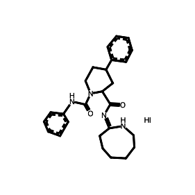 I.O=C(N=C1CCCCCCN1)C1CC(c2ccccc2)CCN1C(=O)Nc1ccccc1